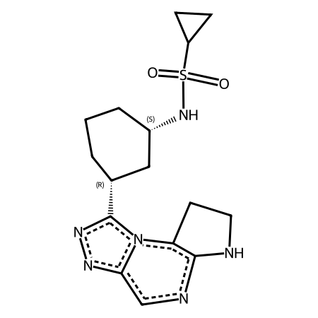 O=S(=O)(N[C@H]1CCC[C@@H](c2nnc3cnc4c(n23)CCN4)C1)C1CC1